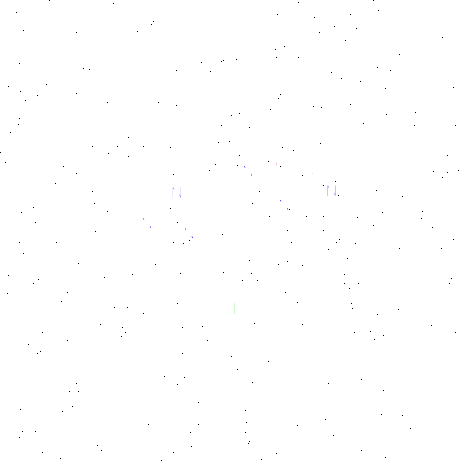 CC/N=C(\N)Nc1cc([N+](=O)[O-])c(N2CCN(C)CC2)cc1OC(F)F